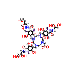 O=C([O-])CN1CCN(Cc2c(O)c(I)c(C(=O)NCC(O)CO)c(I)c2O)CCN(Cc2c(O)c(I)c(C(=O)NCC(O)CO)c(I)c2O)CCN(Cc2c(O)c(I)c(C(=O)NCC(O)CO)c(I)c2O)CC1.[Lu]